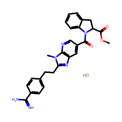 COC(=O)C1Cc2ccccc2N1C(=O)c1cnc2c(c1)nc(CCc1ccc(C(=N)N)cc1)n2C.Cl